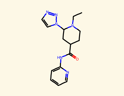 CCN1CCC(C(=O)Nc2ccccn2)CC1n1ccnn1